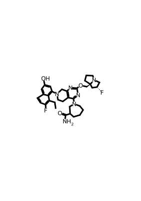 CCc1c(F)ccc2cc(O)cc(N3CCc4c(nc(OC[C@@]56CCCN5C[C@H](F)C6)nc4N4CCCCC(C(N)=O)C4)C3)c12